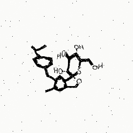 Cc1cc2c(cc1Cc1ccc(C(C)C)cc1)[C@]1(OC2)SC(CO)[C@@H](O)C(O)[C@H]1O